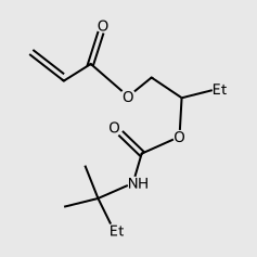 C=CC(=O)OCC(CC)OC(=O)NC(C)(C)CC